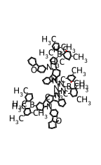 Cc1ccc(B(c2ccc3c(c2)c2ccc4c(c5ccccc5n4-c4nc(B(c5c(C)cc(C)cc5C)c5c(C)cc(C)cc5C)nc(-n5c6ccccc6c6c5ccc5c7cc(B(c8c(C)cc(C)cc8C)c8c(C)cc(C)cc8C)ccc7n(-c7ccc8oc9ccccc9c8c7)c56)n4)c2n3-c2ccc3oc4ccccc4c3c2)c2c(C)cc(C)cc2C)c(C)c1